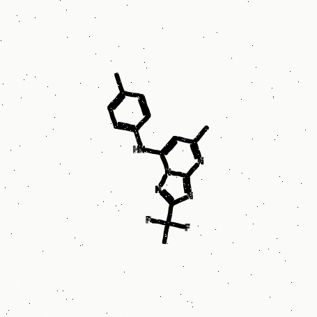 Cc1ccc(Nc2cc(C)nc3nc(C(C)(F)F)nn23)cc1